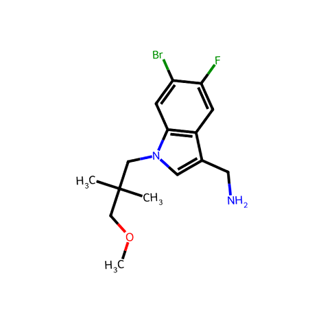 COCC(C)(C)Cn1cc(CN)c2cc(F)c(Br)cc21